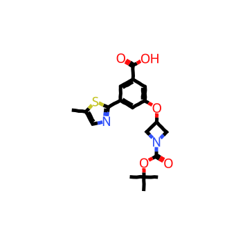 Cc1cnc(-c2cc(OC3CN(C(=O)OC(C)(C)C)C3)cc(C(=O)O)c2)s1